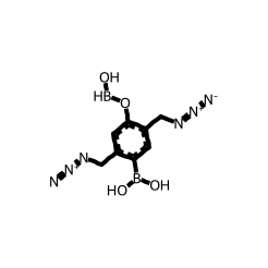 [N-]=[N+]=NCc1cc(B(O)O)c(CN=[N+]=[N-])cc1OBO